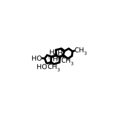 CC1CC[C@@]2(C)C(=CC[C@@H]3[C@H]2CC[C@]2(C)C(O)C(O)C[C@@H]32)C1